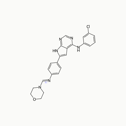 Clc1cccc(Nc2ncnc3[nH]c(-c4ccc(/N=C/N5CCOCC5)cc4)cc23)c1